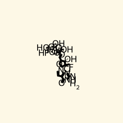 Nc1nc2c(ccn2[C@@H]2OC(COP(=O)(O)OP(=O)(O)OP(O)(O)=P)[C@H](O)C2(Cl)CF)c(=O)[nH]1